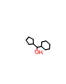 OC(C1CCCCC1)C1CCCC1